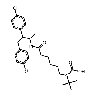 CC(NC(=O)CCCCCN(C(=O)O)C(C)(C)C)C(Cc1ccc(Cl)cc1)c1ccc(Cl)cc1